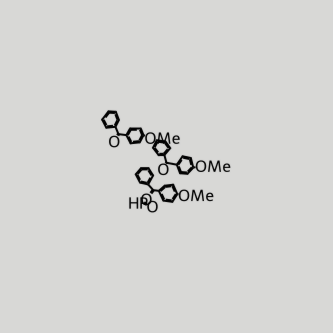 COc1ccc(C(=O)c2ccccc2)cc1.COc1ccc(C(=O)c2ccccc2)cc1.COc1ccc(C(=O)c2ccccc2)cc1.O=P